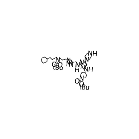 CC(C)(C)OC(=O)N(CCCC1CCCCC1)CCCn1cc(CNc2nc(NC3CCN(C(=O)OC(C)(C)C)CC3)cc(N3CCNCC3)n2)nn1